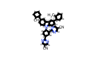 Cc1ccccc1-c1ccc2c(c1)c1cc(-c3ccccc3C)ccc1n2-c1ccc(-c2ncc(C#N)cn2)cc1-c1ncc(C#N)cn1